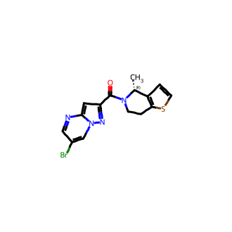 C[C@@H]1c2ccsc2CCN1C(=O)c1cc2ncc(Br)cn2n1